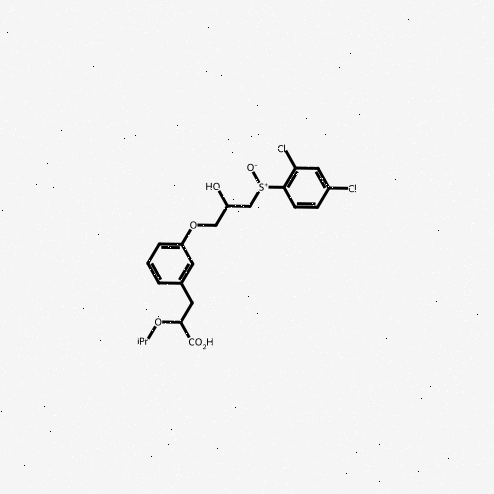 CC(C)OC(Cc1cccc(OCC(O)C[S+]([O-])c2ccc(Cl)cc2Cl)c1)C(=O)O